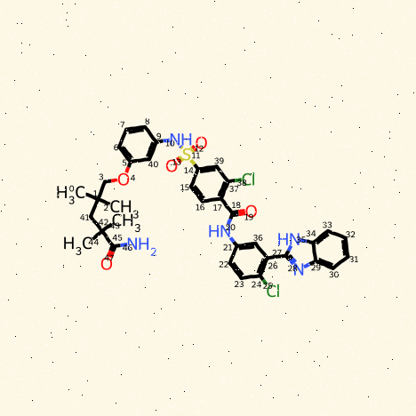 CC(C)(COc1cccc(NS(=O)(=O)c2ccc(C(=O)Nc3ccc(Cl)c(-c4nc5ccccc5[nH]4)c3)c(Cl)c2)c1)CC(C)(C)C(N)=O